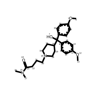 COc1ccc(C(O)(c2ccc(OC)cc2)C2CCN(CCCC(=O)N(C)C)CC2)cc1